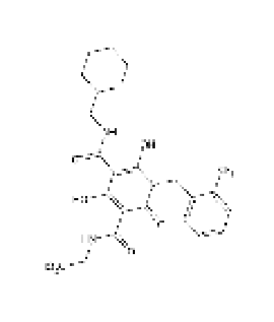 O=C(O)CNC(=O)c1c(O)c(C(=O)NCC2CCCCC2)c(O)n(Cc2ccccc2C(F)(F)F)c1=O